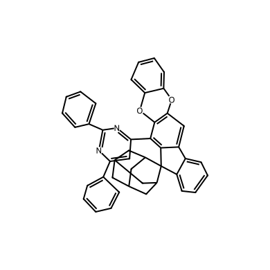 c1ccc(-c2cc(-c3c4c(cc5c3C3(c6ccccc6-5)C5CC6CC(C5)CC3C6)Oc3ccccc3O4)nc(-c3ccccc3)n2)cc1